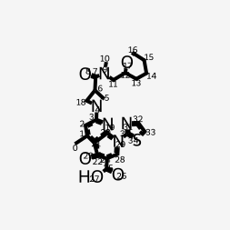 Cc1cc(N2CC(C(=O)N(C)CC3CCCCO3)C2)nc2c1c(=O)c(C(=O)O)cn2-c1nccs1